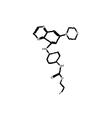 O=C(N[C@H]1CC[C@@H](Nc2cc(N3CCOCC3)cc3nccnc23)CC1)OCCF